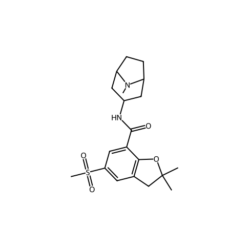 CN1C2CCC1CC(NC(=O)c1cc(S(C)(=O)=O)cc3c1OC(C)(C)C3)C2